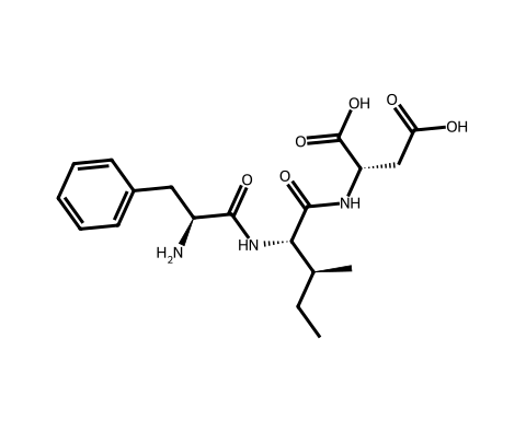 CC[C@H](C)[C@H](NC(=O)[C@@H](N)Cc1ccccc1)C(=O)N[C@@H](CC(=O)O)C(=O)O